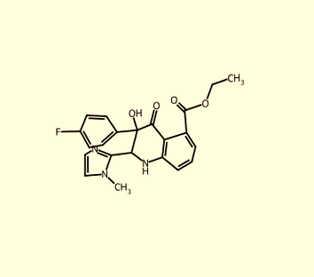 CCOC(=O)c1cccc2c1C(=O)C(O)(c1ccc(F)cc1)C(c1nccn1C)N2